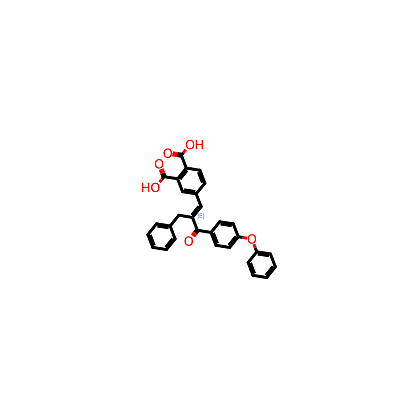 O=C(/C(=C/c1ccc(C(=O)O)c(C(=O)O)c1)Cc1ccccc1)c1ccc(Oc2ccccc2)cc1